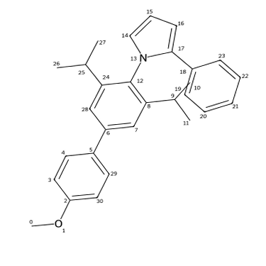 COc1ccc(-c2cc(C(C)C)c(-n3cccc3-c3ccccc3)c(C(C)C)c2)cc1